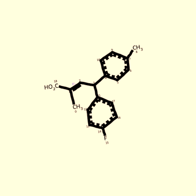 C/C(=C\C(c1ccc(C)cc1)c1ccc(F)cc1)C(=O)O